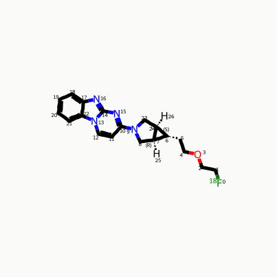 [18F]CCOCC[C@@H]1[C@H]2CN(c3ccn4c(n3)nc3ccccc34)C[C@@H]12